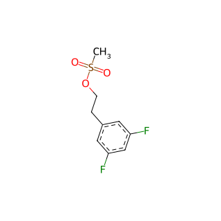 CS(=O)(=O)OCCc1cc(F)cc(F)c1